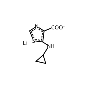 O=C([O-])c1ncsc1NC1CC1.[Li+]